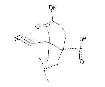 CC(C)CC(CC(=O)O)(C(=O)O)C(C)(C)C#N